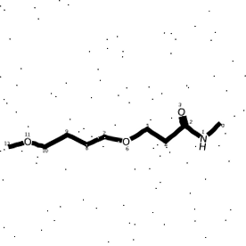 CNC(=O)CCOCCCCOC